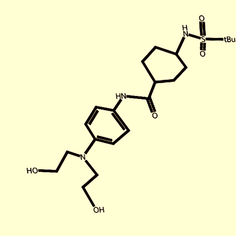 CC(C)(C)S(=O)(=O)NC1CCC(C(=O)Nc2ccc(N(CCO)CCO)cc2)CC1